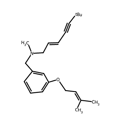 CC(C)=CCOc1cccc(CN(C)CC=CC#CC(C)(C)C)c1